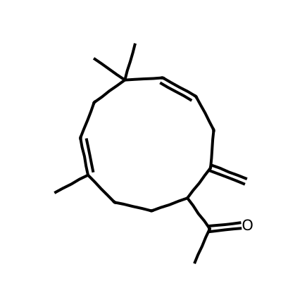 C=C1CC=CC(C)(C)CC=C(C)CCC1C(C)=O